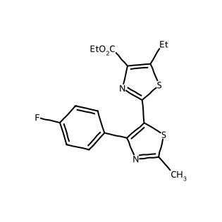 CCOC(=O)c1nc(-c2sc(C)nc2-c2ccc(F)cc2)sc1CC